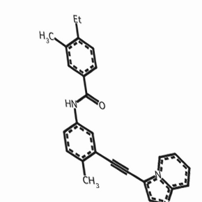 CCc1ccc(C(=O)Nc2ccc(C)c(C#Cc3cnc4ccccn34)c2)cc1C